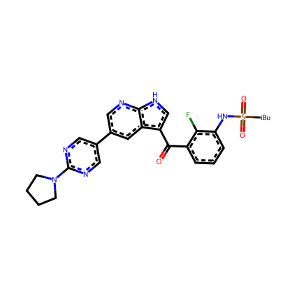 CCC(C)S(=O)(=O)Nc1cccc(C(=O)c2c[nH]c3ncc(-c4cnc(N5CCCC5)nc4)cc23)c1F